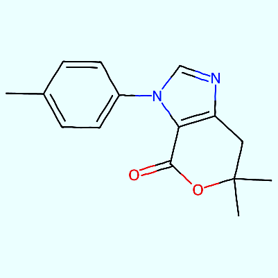 Cc1ccc(-n2cnc3c2C(=O)OC(C)(C)C3)cc1